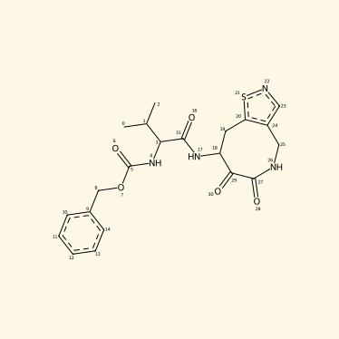 CC(C)C(NC(=O)OCc1ccccc1)C(=O)NC1Cc2sncc2CNC(=O)C1=O